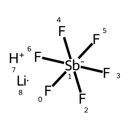 [F][Sb-]([F])([F])([F])([F])[F].[H+].[Li]